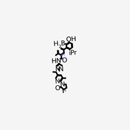 Bc1c(O)ccc(C(C)C)c1C(=C)/C=C(\C(=C)C)C(=O)Nc1cnn(C(C)c2cnc(N3CC[C@@H](C)C3=O)c(C)c2)c1